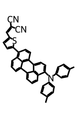 Cc1ccc(N(c2ccc(C)cc2)c2ccc3c4ccc(-c5ccc(C=C(C#N)C#N)s5)c5cccc(c6cccc2c63)c54)cc1